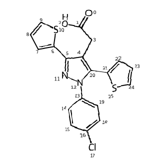 O=C(O)Cc1c(-c2cccs2)nn(-c2ccc(Cl)cc2)c1-c1cccs1